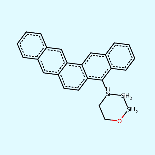 c1ccc2cc3c(ccc4c([SiH]5CCO[SiH2][SiH2]5)c5ccccc5cc43)cc2c1